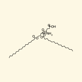 CCCCCCCCCCCCCCCCCC(=O)OCC(CNC(=O)C(N)CCC(=O)O)OC(=O)CCCCCCCCCCCCCCCCC